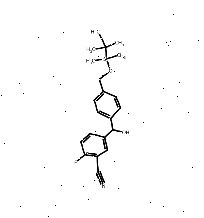 CC(C)(C)[Si](C)(C)OCc1ccc(C(O)c2ccc(F)c(C#N)c2)cc1